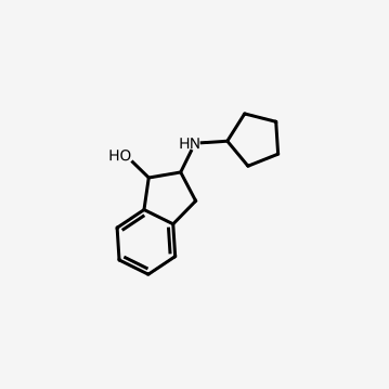 OC1c2ccccc2CC1NC1CCCC1